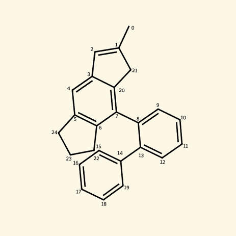 CC1=Cc2cc3c(c(-c4ccccc4-c4ccccc4)c2C1)CCC3